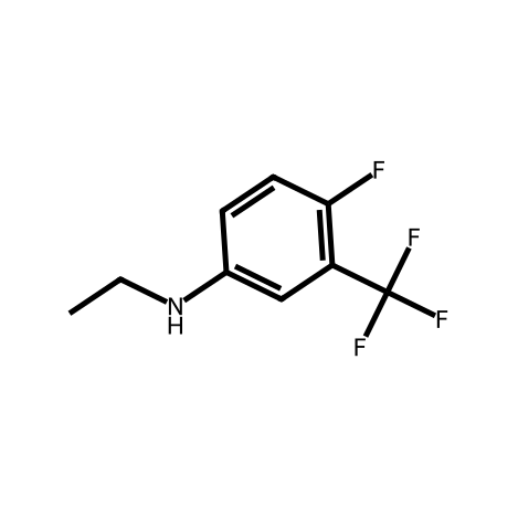 CCNc1ccc(F)c(C(F)(F)F)c1